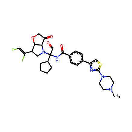 CN1CCN(c2nc(-c3ccc(C(=O)NC(C=O)(C4CCCC4)N4CC(C(F)=CF)C5OCC(=O)C54)cc3)cs2)CC1